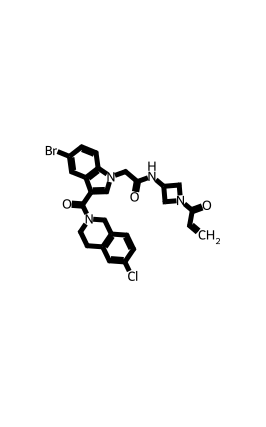 C=CC(=O)N1CC(NC(=O)Cn2cc(C(=O)N3CCc4cc(Cl)ccc4C3)c3cc(Br)ccc32)C1